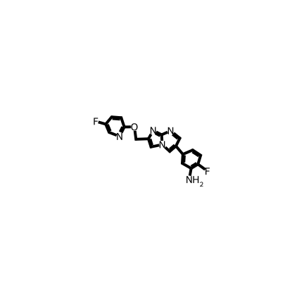 Nc1cc(-c2cnc3nc(COc4ccc(F)cn4)cn3c2)ccc1F